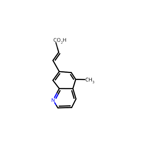 Cc1cc(/C=C/C(=O)O)cc2ncccc12